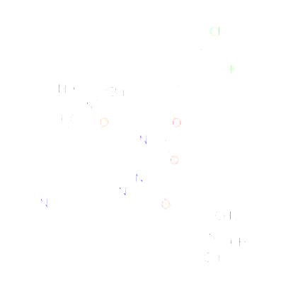 CC(C)(C)[Si](C)(C)OCc1c(-c2ccncc2)nn(COCC[Si](C)(C)C)c1N1CCC(c2ccc(Cl)c(F)c2)OC1=O